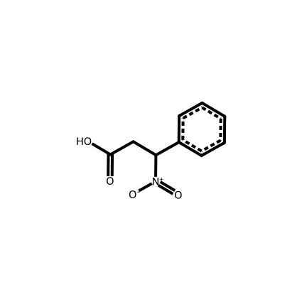 O=C(O)CC(c1ccccc1)[N+](=O)[O-]